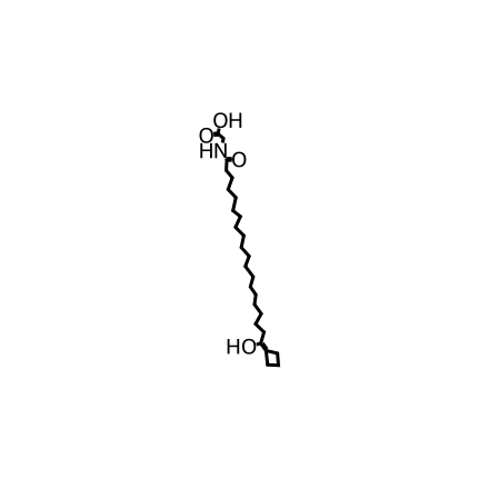 O=C(O)CNC(=O)CCCCCCCCCCCCCCCCCCC(O)=C1CCC1